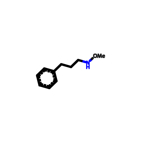 CONCCCc1ccccc1